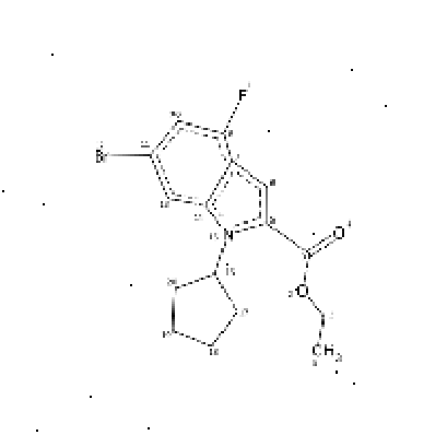 CCOC(=O)c1cc2c(F)cc(Br)cc2n1C1CCCC1